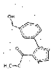 COC(=O)c1ncoc1-c1cccc(CO)c1